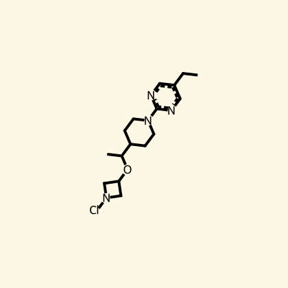 CCc1cnc(N2CCC(C(C)OC3CN(Cl)C3)CC2)nc1